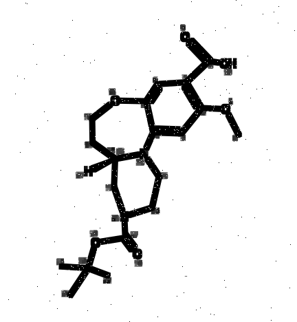 COc1cc2c(cc1C(=O)O)OCC[C@H]1CN(C(=O)OC(C)(C)C)CCN21